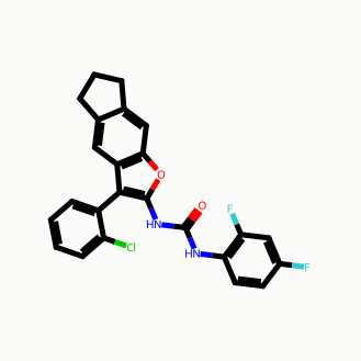 O=C(Nc1ccc(F)cc1F)Nc1oc2cc3c(cc2c1-c1ccccc1Cl)CCC3